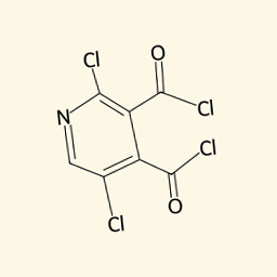 O=C(Cl)c1c(Cl)cnc(Cl)c1C(=O)Cl